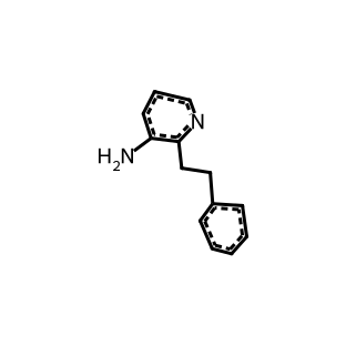 Nc1cccnc1CCc1ccccc1